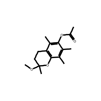 COC1(C)CCc2c(C)c(OC(C)=O)c(C)c(C)c2O1